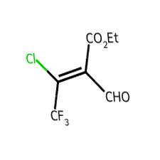 CCOC(=O)/C(C=O)=C(\Cl)C(F)(F)F